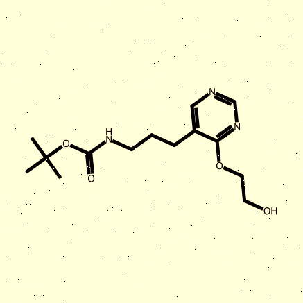 CC(C)(C)OC(=O)NCCCc1cncnc1OCCO